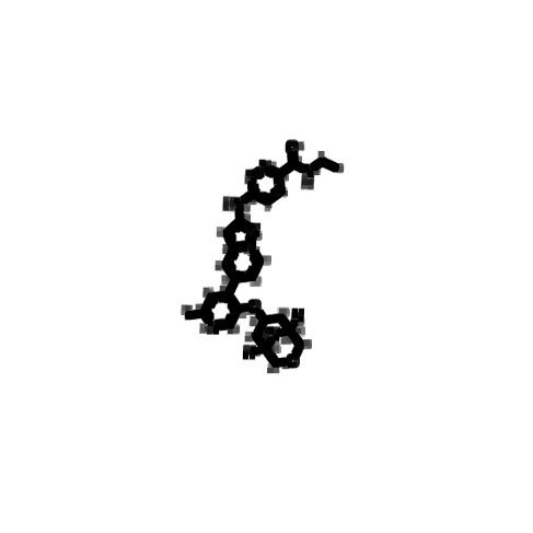 CCNC(=O)c1ccc(Nc2cc3cc(-c4cc(C)ncc4OC4C[C@H]5COC[C@@H](C4)N5)ccn3n2)nn1